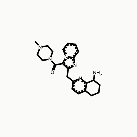 CN1CCN(C(=O)c2c(Cc3ccc4c(n3)C(N)CCC4)nc3ccccn23)CC1